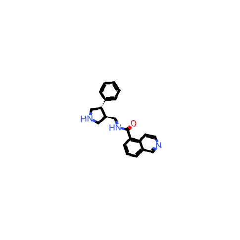 O=C(NC[C@H]1CNC[C@@H]1c1ccccc1)c1cccc2cnccc12